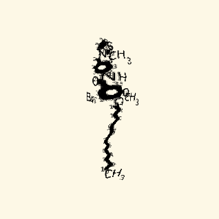 CCCCCCCCCCCCCCOc1ccc(C(=O)Nc2ccc(C[n+]3ccsc3C)cc2)cc1OC.[Br-]